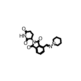 O=C1CCC(N2C(=O)c3cccc(C=NN4CCCCC4)c3C2=O)C(=O)N1